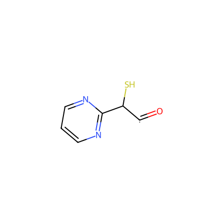 O=[C]C(S)c1ncccn1